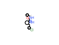 C[C@H](NC(=O)c1n[nH]c2c1CCCCC/C2=C\c1cccc(Cl)c1)c1ccccc1